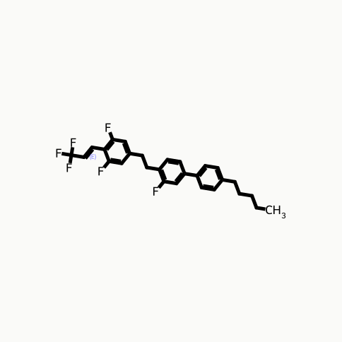 CCCCCc1ccc(-c2ccc(CCc3cc(F)c(/C=C/C(F)(F)F)c(F)c3)c(F)c2)cc1